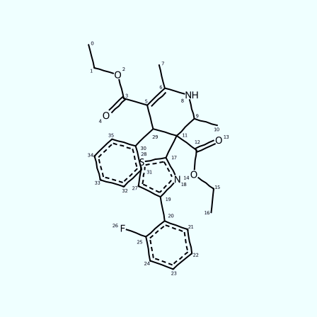 CCOC(=O)C1=C(C)NC(C)C(C(=O)OCC)(c2nc(-c3ccccc3F)cs2)C1c1ccccc1